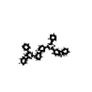 c1ccc(-c2nc(-c3ccc4oc5c(-c6nc(-c7ccccc7)c7sc8ccccc8c7n6)cccc5c4c3)nc(-c3ccc4sc5ccccc5c4c3)n2)cc1